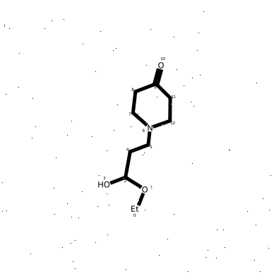 CCOC(O)CCN1CCC(=O)CC1